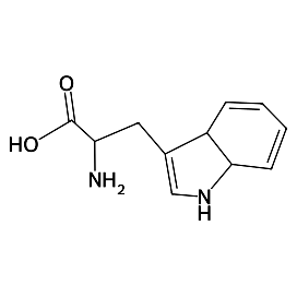 NC(CC1=CNC2C=CC=CC12)C(=O)O